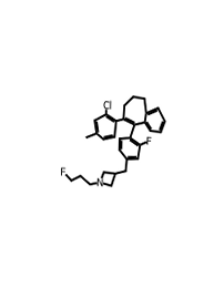 Cc1ccc(C2=C(c3ccc(CC4CN(CCCF)C4)cc3F)c3ccccc3CCC2)c(Cl)c1